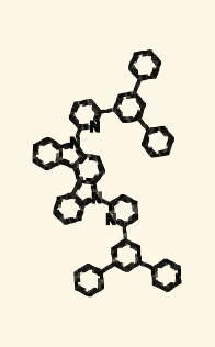 c1ccc(-c2cc(-c3ccccc3)cc(-c3cccc(-n4c5ccccc5c5c6c7ccccc7n(-c7cccc(-c8cc(-c9ccccc9)cc(-c9ccccc9)c8)n7)c6ccc54)n3)c2)cc1